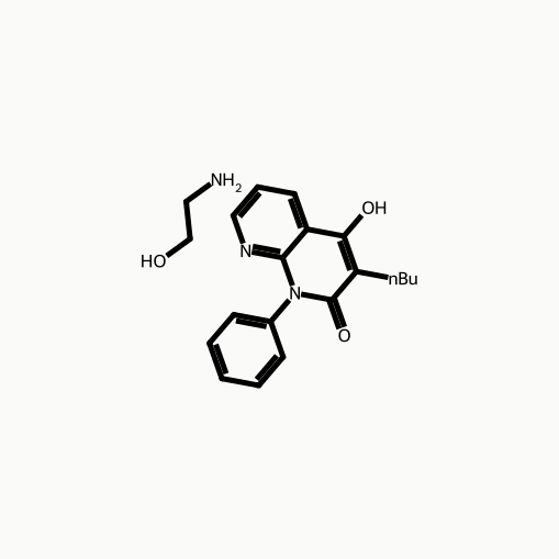 CCCCc1c(O)c2cccnc2n(-c2ccccc2)c1=O.NCCO